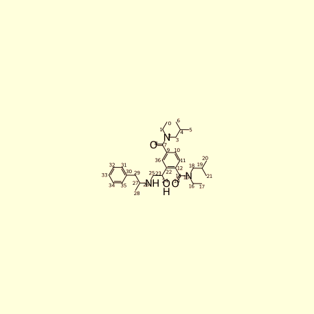 CCN(CC(C)C)C(=O)c1ccc(C(=O)N(CC)CC(C)C)c(C(O)CNC(C)Cc2ccccc2)c1